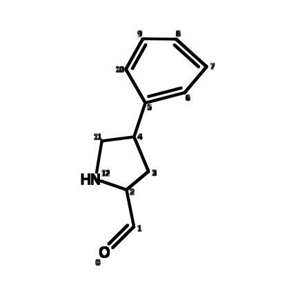 O=CC1CC(c2ccccc2)CN1